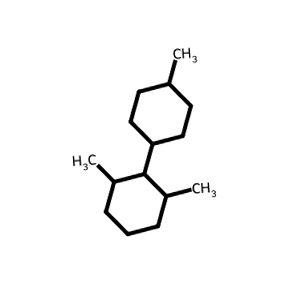 CC1CCC(C2C(C)CCCC2C)CC1